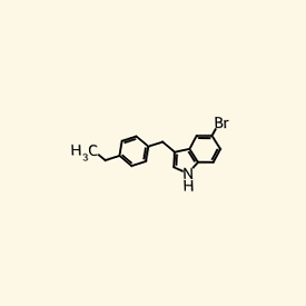 CCc1ccc(Cc2c[nH]c3ccc(Br)cc23)cc1